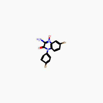 Nc1c(=O)n(-c2ccc(Br)cc2)c2ccc(Br)cc2[n+]1[O-]